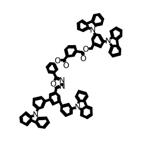 O=C(OCc1cc(-n2c3ccccc3c3ccccc32)cc(-n2c3ccccc3c3ccccc32)c1)c1cccc(C(=O)Oc2cccc(-c3nnc(-c4cc(-c5cccc(-n6c7ccccc7c7ccccc76)c5)cc(-c5cccc(-n6c7ccccc7c7ccccc76)c5)c4)o3)c2)c1